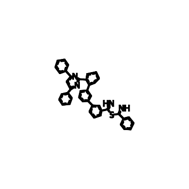 N=C(SC(=N)c1cccc(-c2cccc(-c3ccccc3-c3nc(-c4ccccc4)cc(-c4ccccc4)n3)c2)c1)c1ccccc1